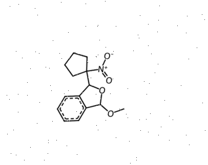 COC1OC(C2([N+](=O)[O-])CCCC2)c2ccccc21